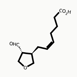 O=C[C@H]1COC[C@@H]1C/C=C\CCCC(=O)O